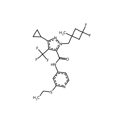 CCSc1cc(NC(=O)c2c(C(F)(F)F)c(C3CC3)nn2CC2(C)CC(F)(F)C2)ccn1